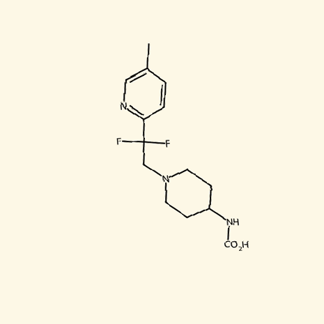 Cc1ccc(C(F)(F)CN2CCC(NC(=O)O)CC2)nc1